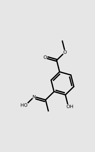 COC(=O)c1ccc(O)c(/C(C)=N/O)c1